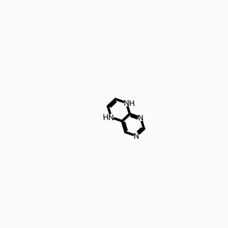 C1=CNc2ncncc2N1